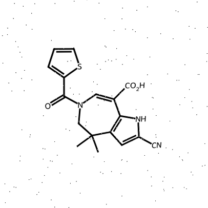 CC1(C)CN(C(=O)c2cccs2)C=C(C(=O)O)c2[nH]c(C#N)cc21